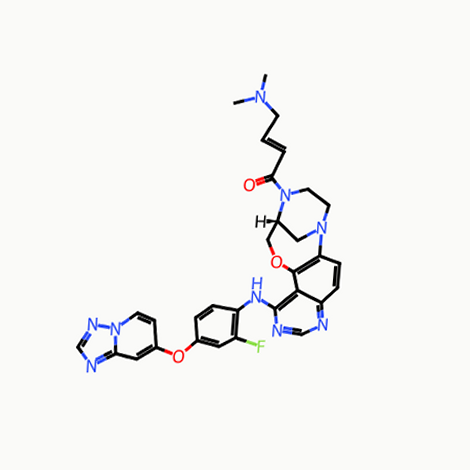 CN(C)C/C=C/C(=O)N1CCN2C[C@@H]1COc1c2ccc2ncnc(Nc3ccc(Oc4ccn5ncnc5c4)cc3F)c12